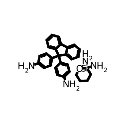 N[Si]1(N)CCCCO1.Nc1ccc(C2(c3ccc(N)cc3)c3ccccc3-c3ccccc32)cc1